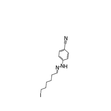 N#Cc1ccc(NN=CCCCCCI)cc1